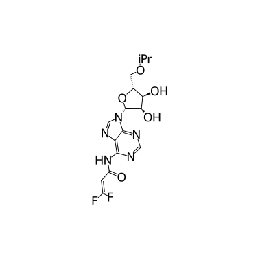 CC(C)OC[C@H]1O[C@@H](n2cnc3c(NC(=O)C=C(F)F)ncnc32)[C@H](O)[C@@H]1O